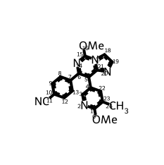 COc1ncc(-c2c(-c3ccc(C#N)cc3)nc(OC)n3ccnc23)cc1C